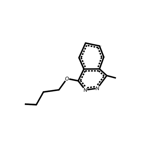 CCCCOc1nnc(C)c2c[c]ccc12